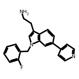 NCCc1cn(Cc2ccccc2F)c2cc(-c3ccncc3)ccc12